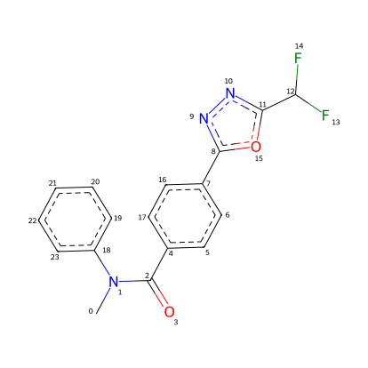 CN(C(=O)c1ccc(-c2nnc(C(F)F)o2)cc1)c1ccccc1